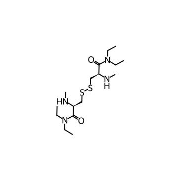 CCN(CC)C(=O)[C@H](CSSC[C@H](NC)C(=O)N(CC)CC)NC